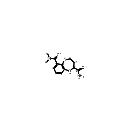 CN(C)C(=O)c1c[c]cc2c1OCCC(C(N)=O)O2